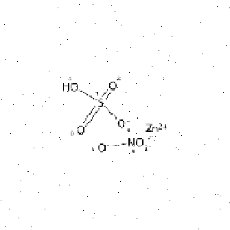 O=S(=O)([O-])O.O=[N+]([O-])[O-].[Zn+2]